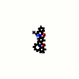 Cc1ccccc1C(=O)Nc1ccc(C(=O)N2CCCCCc3ccccc32)cc1